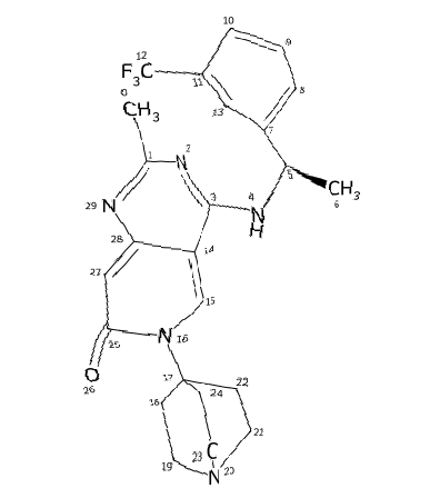 Cc1nc(N[C@H](C)c2cccc(C(F)(F)F)c2)c2cn(C34CCN(CC3)CC4)c(=O)cc2n1